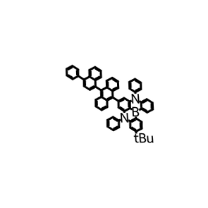 CC(C)(C)c1ccc2c(c1)N(c1ccccc1)c1cc(-c3c4ccccc4c(-c4ccc(-c5ccccc5)c5ccccc45)c4ccccc34)cc3c1B2c1ccccc1N3c1ccccc1